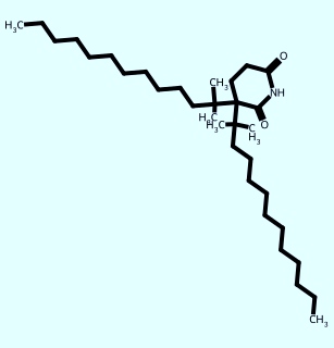 CCCCCCCCCCCC(C)(C)C1(C(C)(C)CCCCCCCCCCC)CCC(=O)NC1=O